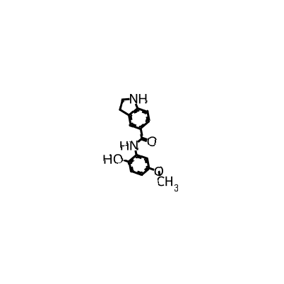 COc1ccc(O)c(NC(=O)c2ccc3c(c2)CCN3)c1